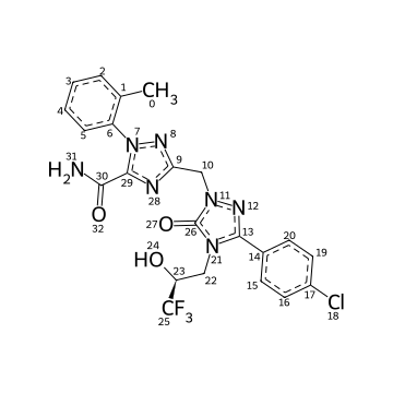 Cc1ccccc1-n1nc(Cn2nc(-c3ccc(Cl)cc3)n(C[C@H](O)C(F)(F)F)c2=O)nc1C(N)=O